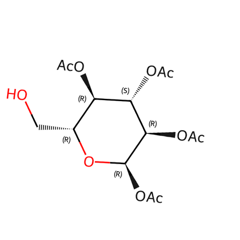 CC(=O)O[C@H]1O[C@H](CO)[C@@H](OC(C)=O)[C@H](OC(C)=O)[C@H]1OC(C)=O